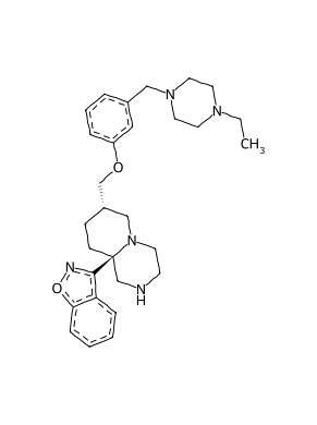 CCN1CCN(Cc2cccc(OC[C@H]3CC[C@@]4(c5noc6ccccc56)CNCCN4C3)c2)CC1